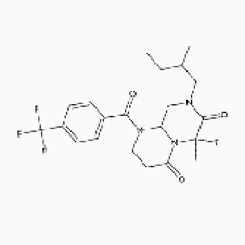 CCC(C)CN1CC2N(C(=O)c3ccc(C(F)(F)F)cc3)CCC(=O)N2C(C)(F)C1=O